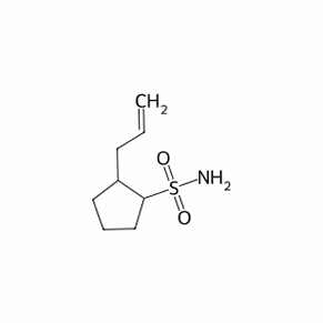 C=CCC1CCCC1S(N)(=O)=O